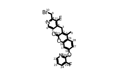 Cc1c(Cc2ccnc(CBr)c2F)c(=O)oc2cc(Oc3ncccc3F)ccc12